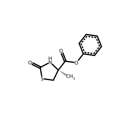 C[C@]1(C(=O)Oc2ccccc2)CSC(=O)N1